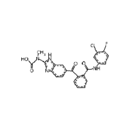 CN(C(=O)O)c1nc2ccc(C(=O)c3ccccc3C(=O)Nc3ccc(F)c(Cl)c3)cc2[nH]1